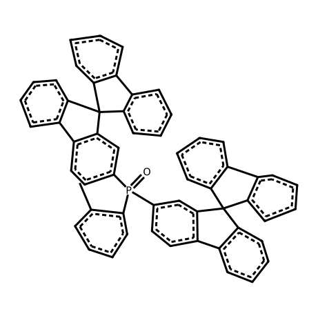 Cc1ccccc1P(=O)(c1ccc2c(c1)C1(c3ccccc3-c3ccccc31)c1ccccc1-2)c1ccc2c(c1)C1(c3ccccc3-c3ccccc31)c1ccccc1-2